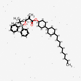 C=C(CO[Si](c1ccccc1)(c1ccccc1)C(C)(C)C)C(=O)OC1CCC(C2CCC(CCCCCCCCCC)CC2)CC1